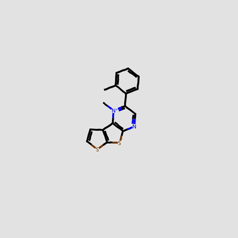 Cc1ccccc1-c1cnc2sc3sccc3c2[n+]1C